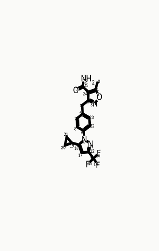 Cc1onc(Cc2ccc(-n3nc(C(F)(F)F)cc3C3CC3)cc2)c1C(N)=O